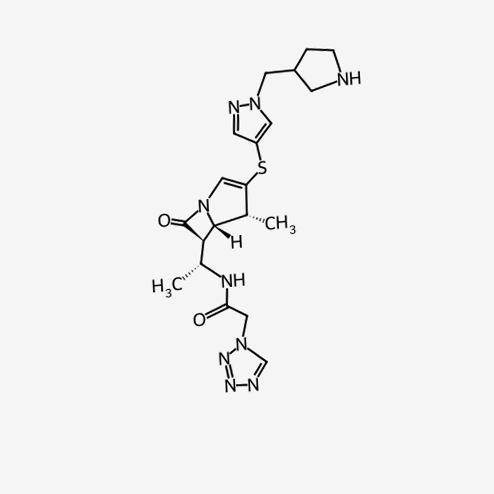 C[C@@H](NC(=O)Cn1cnnn1)[C@H]1C(=O)N2C=C(Sc3cnn(CC4CCNC4)c3)[C@H](C)[C@H]12